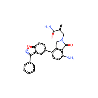 C=C(CN1Cc2c(-c3ccc4onc(-c5ccccc5)c4c3)ccc(N)c2C1=O)C(N)=O